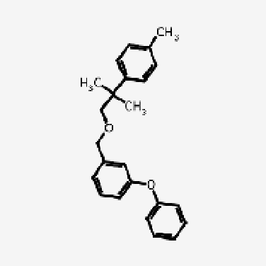 Cc1ccc(C(C)(C)COCc2cccc(Oc3ccccc3)c2)cc1